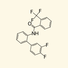 O=C(Nc1ccccc1-c1ccc(F)c(F)c1)c1ccccc1C(F)(F)F